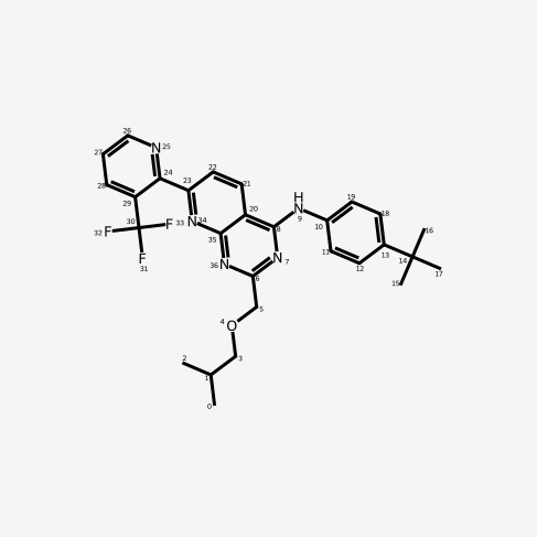 CC(C)COCc1nc(Nc2ccc(C(C)(C)C)cc2)c2ccc(-c3ncccc3C(F)(F)F)nc2n1